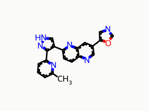 Cc1cccc(-c2n[nH]cc2-c2ccc3ncc(-c4cnco4)cc3n2)n1